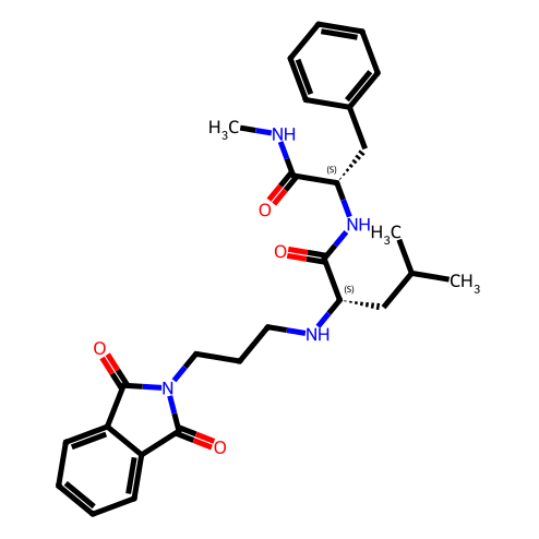 CNC(=O)[C@H](Cc1ccccc1)NC(=O)[C@H](CC(C)C)NCCCN1C(=O)c2ccccc2C1=O